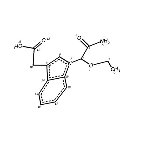 CCOC(C(N)=O)n1cc(CC(=O)O)c2ccccc21